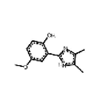 COc1ccc(O)c(-c2nc(C)c(C)[nH]2)c1